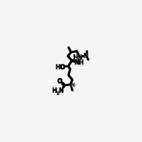 CC(CNN(C)C)CC(=N)C(O)CCC[C@@H](C)C(N)=O